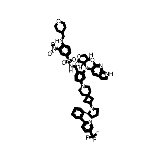 O=C(NS(=O)(=O)c1ccc(NCC2CCOCC2)c([N+](=O)[O-])c1)c1ccc(N2CCC3(CC2)CC(N2CCC[C@H]2c2ccccc2-c2ccc(C(F)(F)F)cn2)C3)cc1N1c2cc3cc[nH]c3nc2O[C@@H]2COC[C@H]21